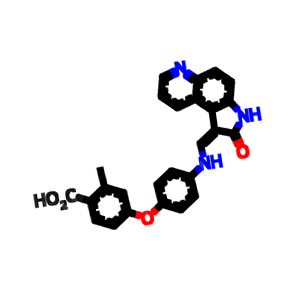 Cc1cc(Oc2ccc(N/C=C3\C(=O)Nc4ccc5ncccc5c43)cc2)ccc1C(=O)O